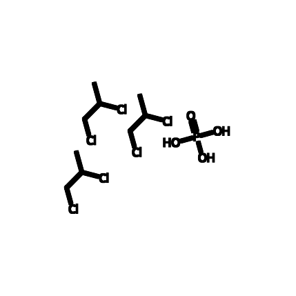 CC(Cl)CCl.CC(Cl)CCl.CC(Cl)CCl.O=P(O)(O)O